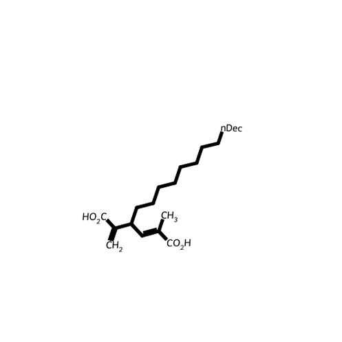 C=C(C(=O)O)C(C=C(C)C(=O)O)CCCCCCCCCCCCCCCCCC